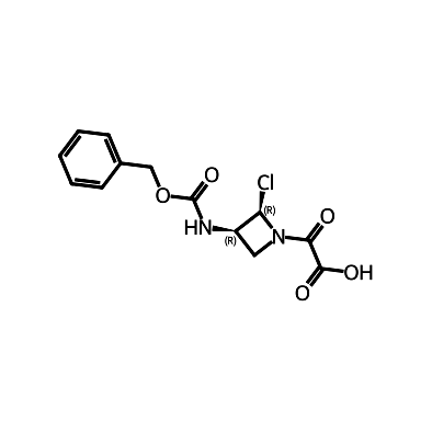 O=C(N[C@@H]1CN(C(=O)C(=O)O)[C@@H]1Cl)OCc1ccccc1